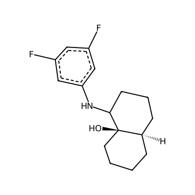 O[C@]12CCCC[C@@H]1CCCC2Nc1cc(F)cc(F)c1